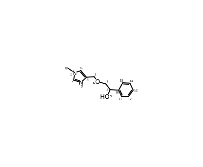 Cn1cnc(COCC(O)c2ccccc2)c1